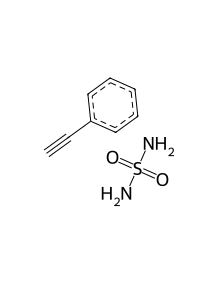 C#Cc1ccccc1.NS(N)(=O)=O